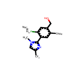 COc1cc(-c2nc(C(F)(F)F)cn2C)c(F)cc1CO.[BH4-].[Na+]